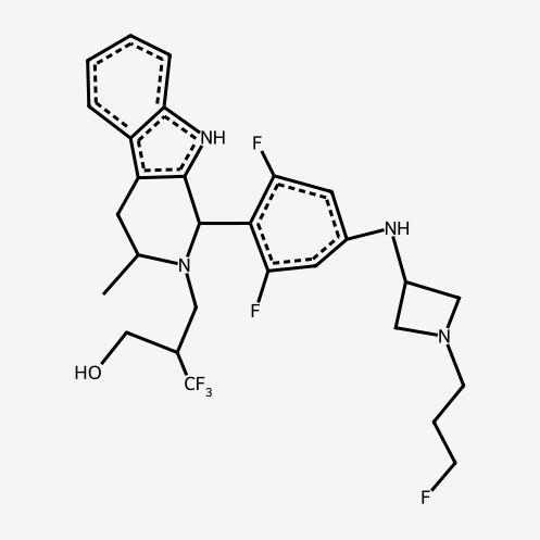 CC1Cc2c([nH]c3ccccc23)C(c2c(F)cc(NC3CN(CCCF)C3)cc2F)N1CC(CO)C(F)(F)F